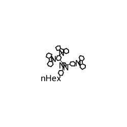 CCCCCCc1ccc(-c2nc(-c3ccc(-n4c5ccccc5c5ccccc54)cc3)cc(-c3cc(-n4c5ccccc5c5ccccc54)cc(-n4c5ccccc5c5ccccc54)c3)n2)cc1